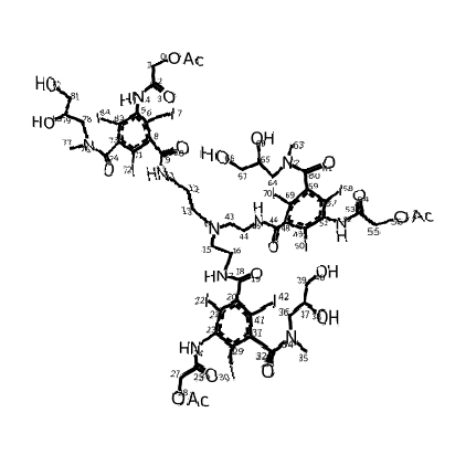 CC(=O)OCC(=O)Nc1c(I)c(C(=O)NCCN(CCNC(=O)c2c(I)c(NC(=O)COC(C)=O)c(I)c(C(=O)N(C)CC(O)CO)c2I)CCNC(=O)c2c(I)c(NC(=O)COC(C)=O)c(I)c(C(=O)N(C)CC(O)CO)c2I)c(I)c(C(=O)N(C)CC(O)CO)c1I